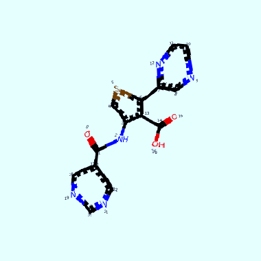 O=C(Nc1csc(-c2cnccn2)c1C(=O)O)c1cncnc1